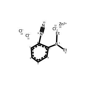 CCN(CC)c1ccccc1[N+]#N.[Cl-].[Cl-].[Cl-].[Zn+2]